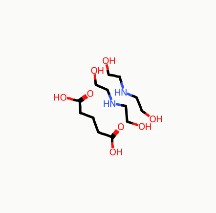 O=C(O)CCCC(=O)O.OCCNCCO.OCCNCCO